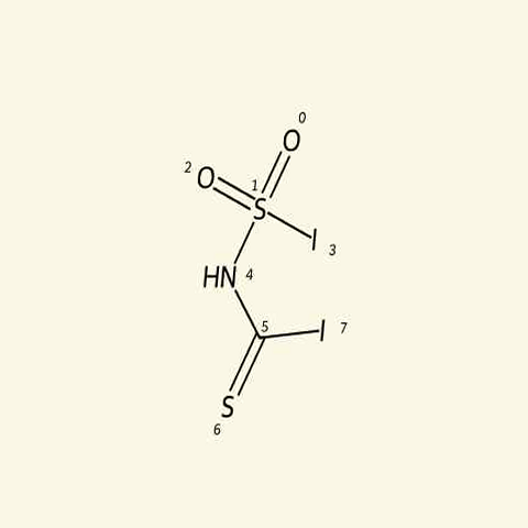 O=S(=O)(I)NC(=S)I